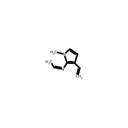 C=Cc1ccn(C)c1/N=C\C